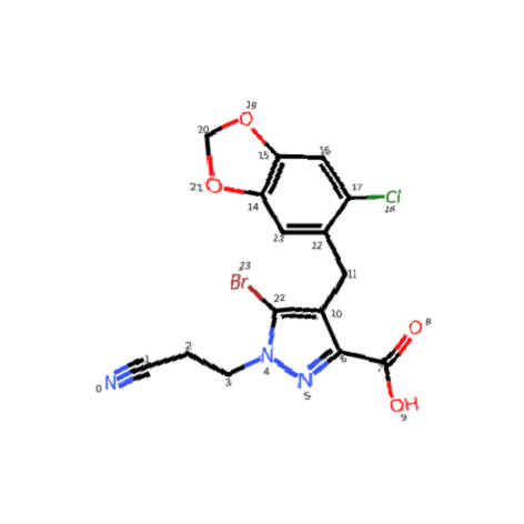 N#CCCn1nc(C(=O)O)c(Cc2cc3c(cc2Cl)OCO3)c1Br